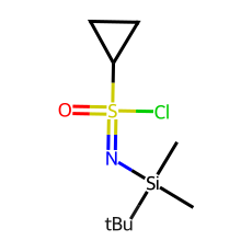 CC(C)(C)[Si](C)(C)N=S(=O)(Cl)C1CC1